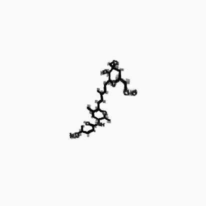 CC(=O)OC(C)/C=C\C(=O)NC1CC(C)C(C/C=C(C)/C=C/C2O[C@H](CC=O)CC3(CO3)[C@@H]2O)OC1C